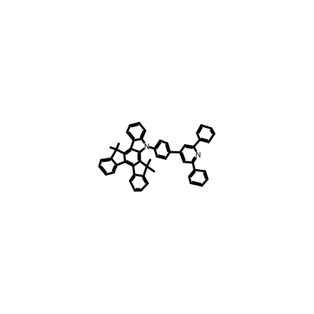 CC1(C)c2ccccc2-c2c3c(c4c(c21)c1ccccc1n4-c1ccc(-c2cc(-c4ccccc4)nc(-c4ccccc4)c2)cc1)C(C)(C)c1ccccc1-3